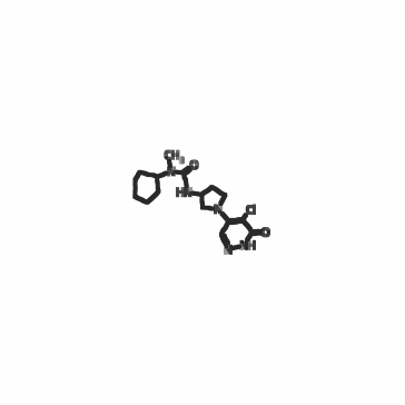 CN(C(=O)NC1CCN(c2cn[nH]c(=O)c2Cl)C1)C1CCCCC1